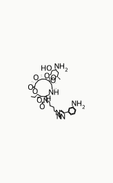 CC[C@H]1OC(=O)[C@H](C)C(=O)[C@H](C)[C@@H](O[C@@H]2O[C@H](C)CC(N)C2O)[C@](C)(OC)C[C@H](C)N[C@H](C)[C@H]2N(CCCCn3cc(-c4cccc(N)c4)nn3)C(=O)O[C@]12C